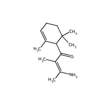 CC1=CCCC(C)(C)C1C(=O)/C(C)=C(/C)N